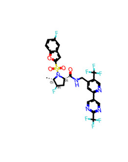 C[C@H]1[C@H](F)C[C@@H](C(=O)NCc2cc(-c3cnc(C(F)(F)F)nc3)ncc2C(F)(F)F)N1S(=O)(=O)c1cc2cc(F)ccc2o1